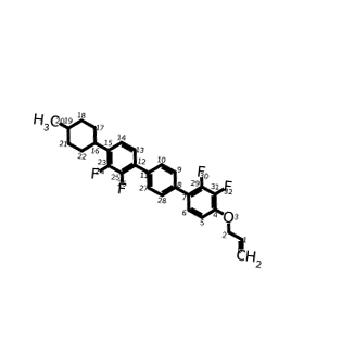 C=CCOc1ccc(-c2ccc(-c3ccc(C4CCC(C)CC4)c(F)c3F)cc2)c(F)c1F